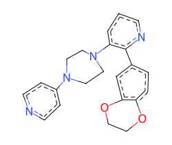 c1cnc(-c2ccc3c(c2)OCCO3)c(N2CCN(c3ccncc3)CC2)c1